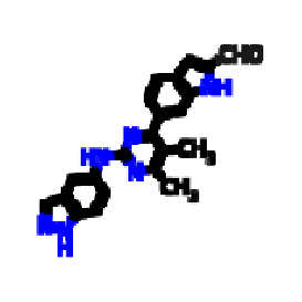 Cc1nc(Nc2ccc3[nH]ncc3c2)nc(-c2ccc3cc(C=O)[nH]c3c2)c1C